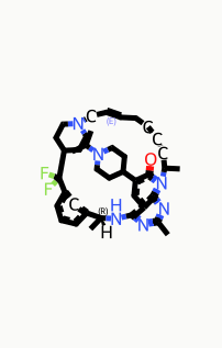 Cc1nc2c3cc(C4CCN(C(C)C)CC4)c(=O)n(c3n1)C(C)CCCC/C=C/CN1CCC(CC1)C(F)(F)c1cccc(c1)[C@@H](C)N2